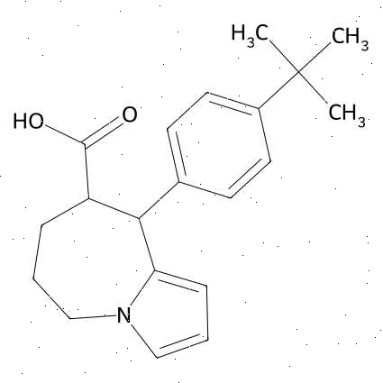 CC(C)(C)c1ccc(C2c3cccn3CCCC2C(=O)O)cc1